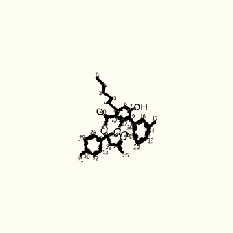 CCCCCc1cc(O)c(-c2cccc(C)c2)c2c1C(=O)OC(CC(C)=O)(c1ccc(C)cc1)O2